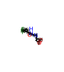 COc1ccc(CCN(C)CCCNC(=O)C=Cc2cccc(C(F)(F)F)c2)cc1OC